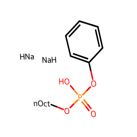 CCCCCCCCOP(=O)(O)Oc1ccccc1.[NaH].[NaH]